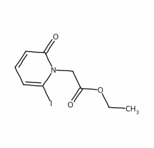 CCOC(=O)Cn1c(I)cccc1=O